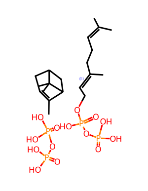 CC(C)=CCC/C(C)=C/COP(=O)(O)OP(=O)(O)O.CC1=CCC2CC1C2(C)C.O=P(O)(O)OP(=O)(O)O